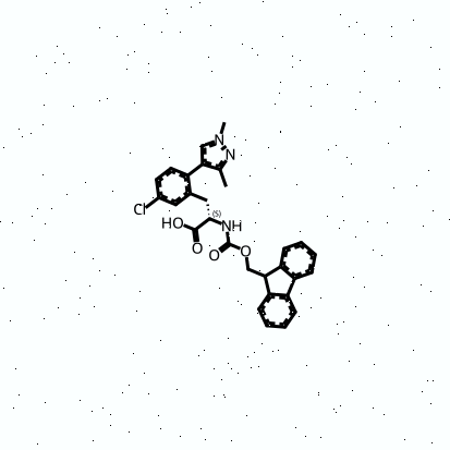 Cc1nn(C)cc1-c1ccc(Cl)cc1C[C@H](NC(=O)OCC1c2ccccc2-c2ccccc21)C(=O)O